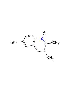 CCCc1ccc2c(c1)CC(C)[C@H](C)N2C(C)=O